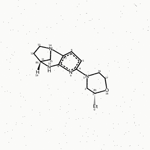 CC[C@@H]1CN(c2ccc3c(n2)N[C@@H]2CCN3C2)CCO1